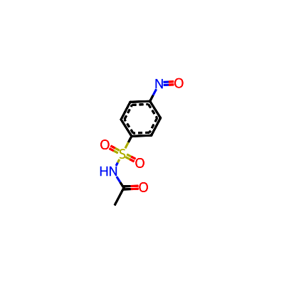 CC(=O)NS(=O)(=O)c1ccc(N=O)cc1